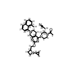 CC(=O)N1CCN(c2nc(OCC3CCN3C3CC3)nc3c2CCN(c2cccc4cccc(C)c24)C3)C[C@@H]1CC#N